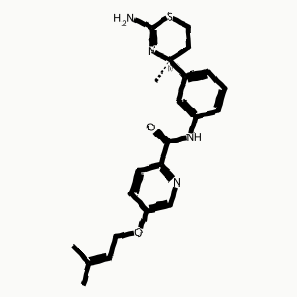 CC(C)=CCOc1ccc(C(=O)Nc2cccc([C@]3(C)CCSC(N)=N3)c2)nc1